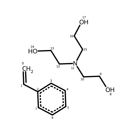 C=Cc1ccccc1.OCCN(CCO)CCO